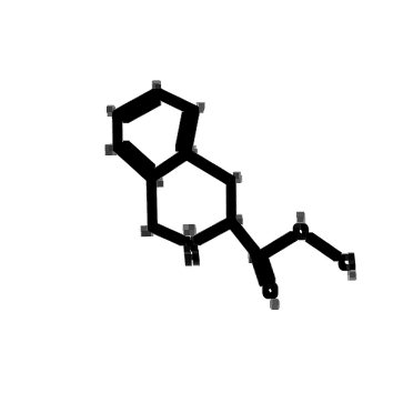 O=C(OCl)C1Cc2ccccc2CN1